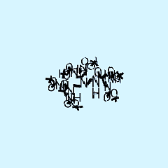 CC(C)(C)OC(=O)NCC(CNC(=O)OC(C)(C)C)C(=O)NCCN(CCNC(=O)C(CNC(=O)OC(C)(C)C)CNC(=O)OC(C)(C)C)C(CNC(=O)OC(C)(C)I)CNC(=O)OC(C)(C)I